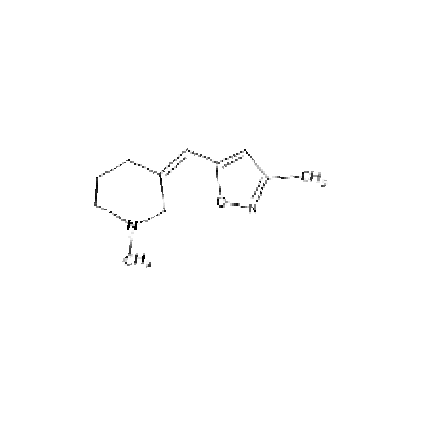 Cc1cc(C=C2CCCN(C)C2)on1